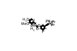 COc1c(C)cnc(CNC(=O)Oc2cc(F)cc(C#C[Si](C(C)C)(C(C)C)C(C)C)c2)c1C